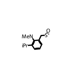 CNc1c(C[S+]=O)cccc1C(C)C